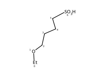 [CH2]COCCCCS(=O)(=O)O